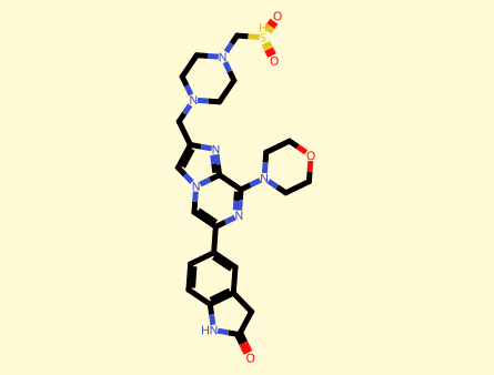 O=C1Cc2cc(-c3cn4cc(CN5CCN(C[SH](=O)=O)CC5)nc4c(N4CCOCC4)n3)ccc2N1